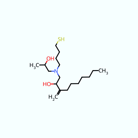 C=C(CCCCCCC)C(O)CN(CCCCS)CC(C)O